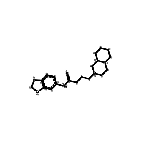 O=C(CCCN1CCN2CCCCC2C1)Nc1ccc2c(c1)OCO2